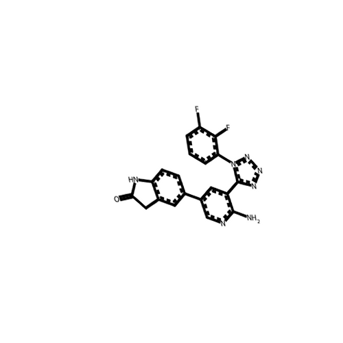 Nc1ncc(-c2ccc3c(c2)CC(=O)N3)cc1-c1nnnn1-c1cccc(F)c1F